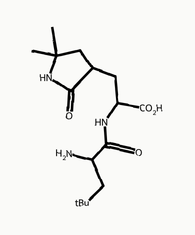 CC(C)(C)CC(N)C(=O)NC(CC1CC(C)(C)NC1=O)C(=O)O